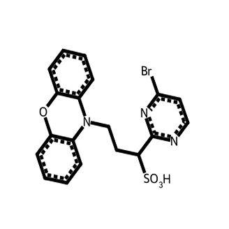 O=S(=O)(O)C(CCN1c2ccccc2Oc2ccccc21)c1nccc(Br)n1